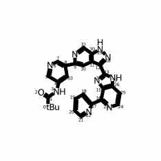 CC(C)(C)C(=O)Nc1cncc(-c2cc3c(-c4nc5c(-c6ccccn6)nccc5[nH]4)n[nH]c3cn2)c1